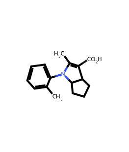 CC1=C(C(=O)O)C2CCCC2N1c1ccccc1C